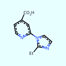 CCc1nccn1-c1cc(C(=O)O)ccn1